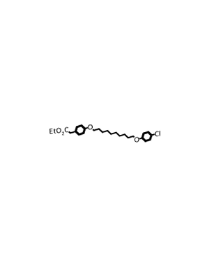 CCOC(=O)Cc1ccc(OCCCCCCCCCCOc2ccc(Cl)cc2)cc1